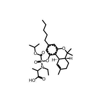 CCCCCc1cc2c(c(OP(=O)(C(=O)OC(C)C)N(CC)C(C)C(=O)O)c1)[C@@H]1C=C(C)CC[C@H]1C(C)(C)O2